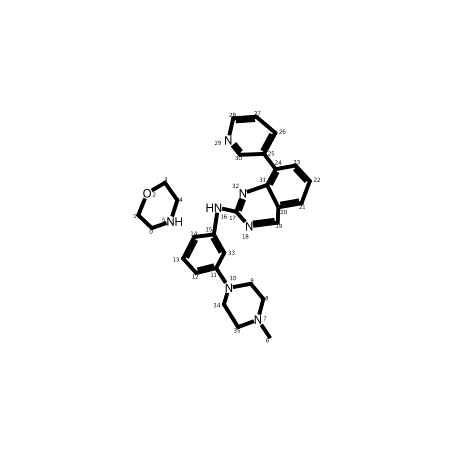 C1COCCN1.CN1CCN(c2cccc(Nc3ncc4cccc(-c5cccnc5)c4n3)c2)CC1